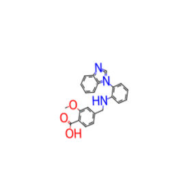 COc1cc(CNc2ccccc2-n2cnc3ccccc32)ccc1C(=O)O